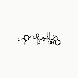 Cn1nc(C(O)NC23CC(NC(=O)COc4ccc(Cl)c(F)c4)(C2)C3)c2ccccc21